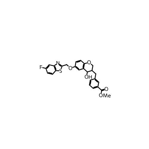 COC(=O)c1cccc(CC2COc3ccc(OCc4nc5cc(F)ccc5s4)cc3C2O)c1